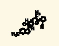 Cc1ccc2c(c1)CC[C@H]2N1C(=O)[C@@H]2C[C@H]1CN2C[C@H](C)C(=O)N1CCC[C@H]1C#N